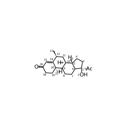 CC(=O)[C@@]1(O)CC[C@@H]2C1CC[C@H]1[C@H]2C[C@H](C)C2=CC(=O)CC[C@@]21C